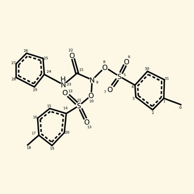 Cc1ccc(S(=O)(=O)ON(OS(=O)(=O)c2ccc(C)cc2)C(=O)Nc2ccccc2)cc1